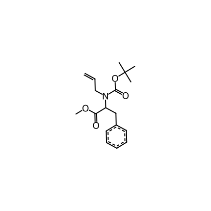 C=CCN(C(=O)OC(C)(C)C)C(Cc1ccccc1)C(=O)OC